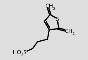 C=c1cc(CCCS(=O)(=O)O)c(=C)s1